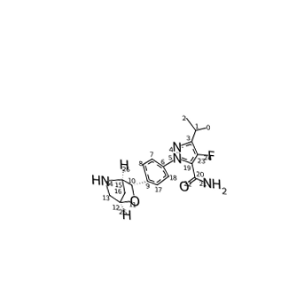 CC(C)c1nn(-c2ccc([C@@H]3O[C@H]4CN[C@@H]3C4)cc2)c(C(N)=O)c1F